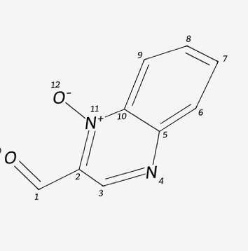 O=Cc1cnc2ccccc2[n+]1[O-]